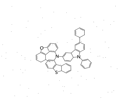 CC1CC=Cc2oc3cccc(N(C4=CC5c6cc(C7C=CC=CC7)ccc6N(c6ccccc6)C5C=C4)c4cccc5c4C4C=CC=CC4S5)c3c21